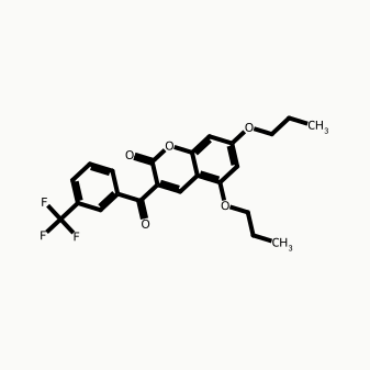 CCCOc1cc(OCCC)c2cc(C(=O)c3cccc(C(F)(F)F)c3)c(=O)oc2c1